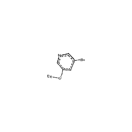 CCOc1cncc(C(C)(C)C)c1